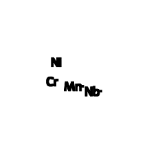 [Cr].[Mn].[Nb].[Ni]